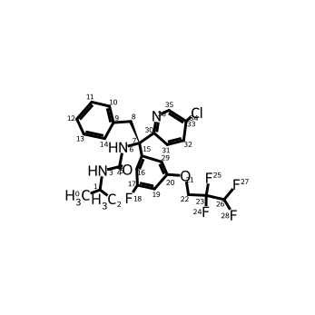 CC(C)NC(=O)N[C@@](Cc1ccccc1)(c1cc(F)cc(OCC(F)(F)C(F)F)c1)c1ccc(Cl)cn1